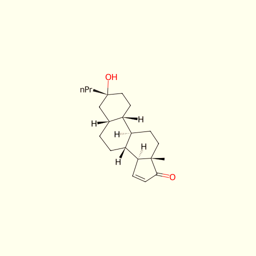 CCC[C@@]1(O)CC[C@H]2[C@H](CC[C@@H]3[C@@H]2CC[C@]2(C)C(=O)C=C[C@@H]32)C1